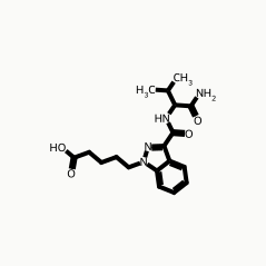 CC(C)C(NC(=O)c1nn(CCCCC(=O)O)c2ccccc12)C(N)=O